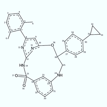 Cc1cccc(C)c1-c1cc2nc(n1)NS(=O)(=O)c1cccc(c1)NCC(c1ccc(C3CC3)cc1)O2